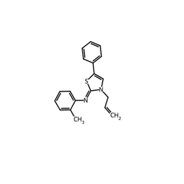 C=CCn1cc(-c2ccccc2)sc1=Nc1ccccc1C